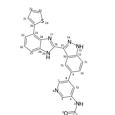 CCC(=O)Nc1cncc(-c2ccc3[nH]nc(-c4nc5c(-c6cccs6)cccc5[nH]4)c3c2)c1